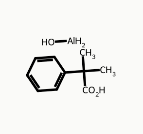 CC(C)(C(=O)O)c1ccccc1.[OH][AlH2]